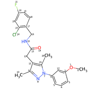 COc1cccc(-n2nc(C)c(CC(=O)NCc3ccc(F)cc3Cl)c2C)c1